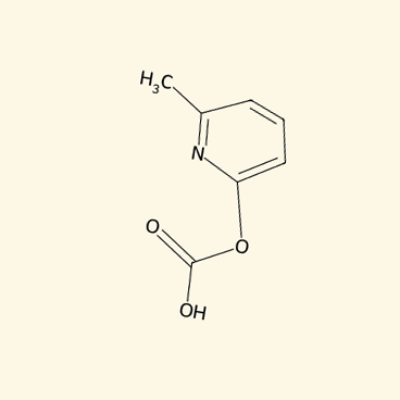 Cc1cccc(OC(=O)O)n1